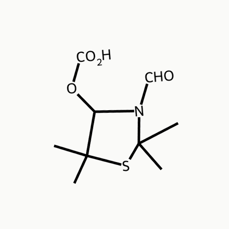 CC1(C)SC(C)(C)N(C=O)C1OC(=O)O